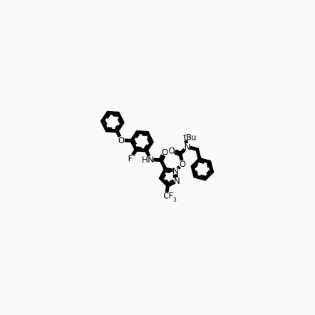 CC(C)(C)N(Cc1ccccc1)C(=O)On1nc(C(F)(F)F)cc1C(=O)Nc1cccc(Oc2ccccc2)c1F